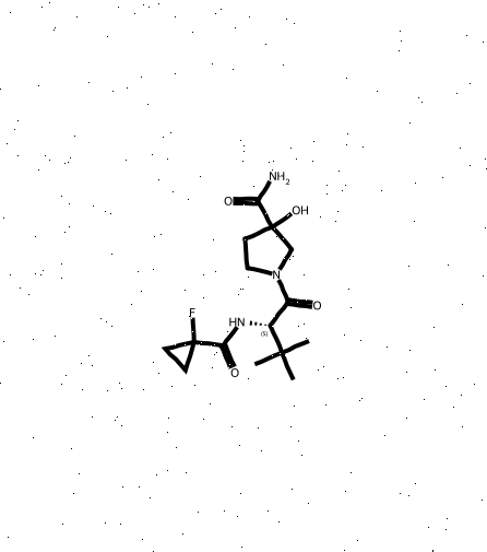 CC(C)(C)[C@H](NC(=O)C1(F)CC1)C(=O)N1CCC(O)(C(N)=O)C1